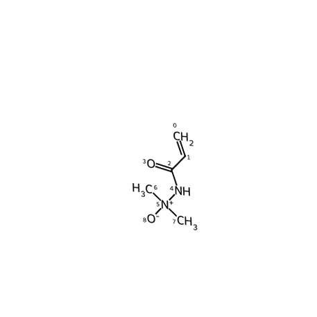 C=CC(=O)N[N+](C)(C)[O-]